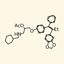 CCC(=C(c1ccccc1)c1ccc(OCC(CNCC2CCCCC2)OC(C)=O)cc1)c1ccc2c(c1)OCO2